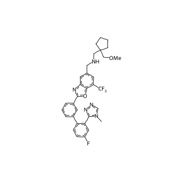 COCC1(CNCc2cc(C(F)(F)F)c3oc(-c4cccc(-c5ccc(F)cc5-c5nncn5C)c4)nc3c2)CCCC1